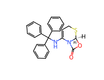 O=C1O[C@@H]2SCC=C(NC(c3ccccc3)(c3ccccc3)c3ccccc3)N12